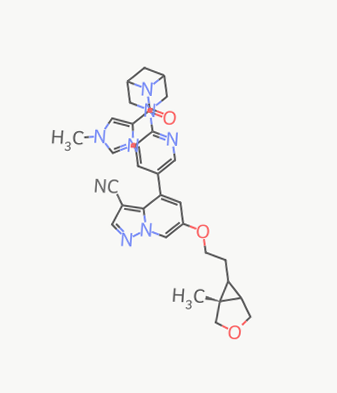 Cn1cnc(C(=O)N2C3CC2CN(c2ccc(-c4cc(OCCC5C6COC[C@]56C)cn5ncc(C#N)c45)cn2)C3)c1